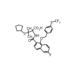 CC(C)(SC1CCCC1)C(NC(=O)c1ccc2cc(F)ccc2c1OCc1ccc(SC(F)(F)F)cc1)C(=O)O